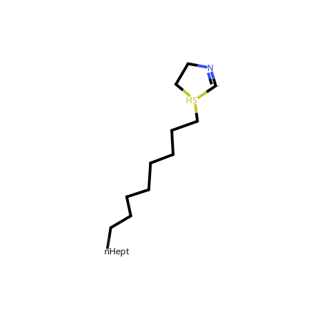 CCCCCCCCCCCCCCC[SH]1[C]=NCC1